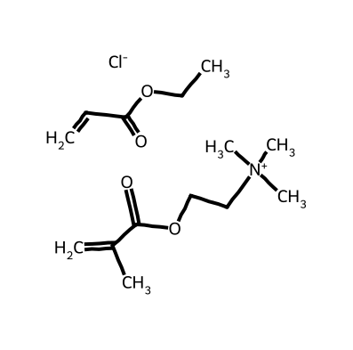 C=C(C)C(=O)OCC[N+](C)(C)C.C=CC(=O)OCC.[Cl-]